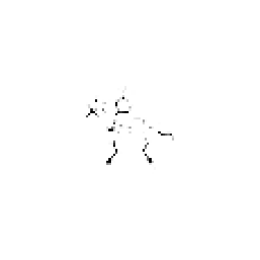 [2H]CCOP(OCCC#N)OC[C@H]1O[C@@H](B)[C@@H](O[Si](C)(C)C(C)(C)C)C1OP(=C)(OC)OCCC#N